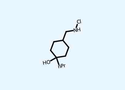 CCCC1(O)CCC(CNCl)CC1